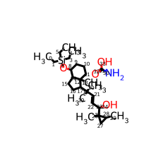 CC[Si](CC)(CC)OC1CCCC2(C)C1CCC2C(C)(C)C=CC(O)C1(C)CC1C.NC(=O)O